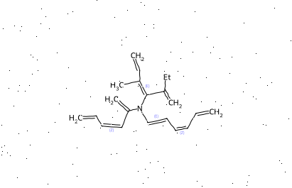 C=C/C=C\C=C\N(C(=C)/C=C\C=C)/C(C(=C)CC)=C(\C)C=C